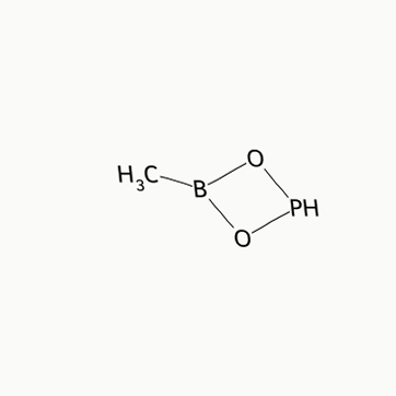 CB1OPO1